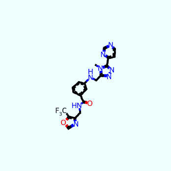 Cn1c(CNc2cccc(C(=O)NCc3ncoc3C(F)(F)F)c2)nnc1-c1ccncn1